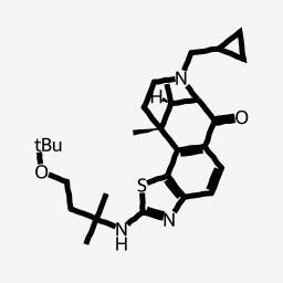 C[C@H]1C2C(=O)c3ccc4nc(NC(C)(C)CCOC(C)(C)C)sc4c3[C@]1(C)CCN2CC1CC1